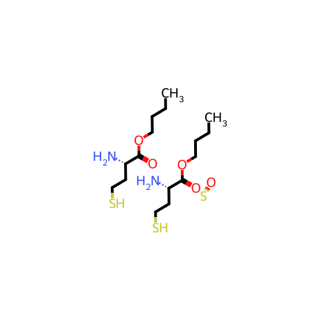 CCCCOC(=O)[C@@H](N)CCS.CCCCOC(=O)[C@@H](N)CCS.O=S